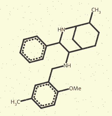 COc1ccc(C)cc1CNC1C2CCC(C)C(C2)NC1c1ccccc1